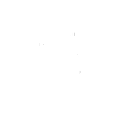 CC(C)[CH]([AlH2])c1ccccc1.F